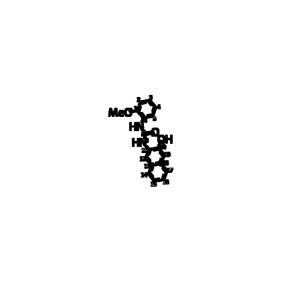 COc1ccccc1NC(=O)Nc1cc2ccccc2cc1O